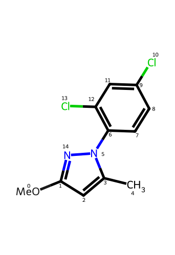 COc1cc(C)n(-c2ccc(Cl)cc2Cl)n1